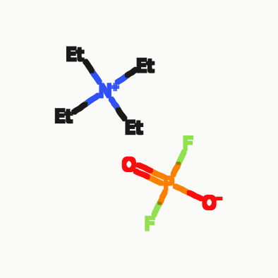 CC[N+](CC)(CC)CC.O=P([O-])(F)F